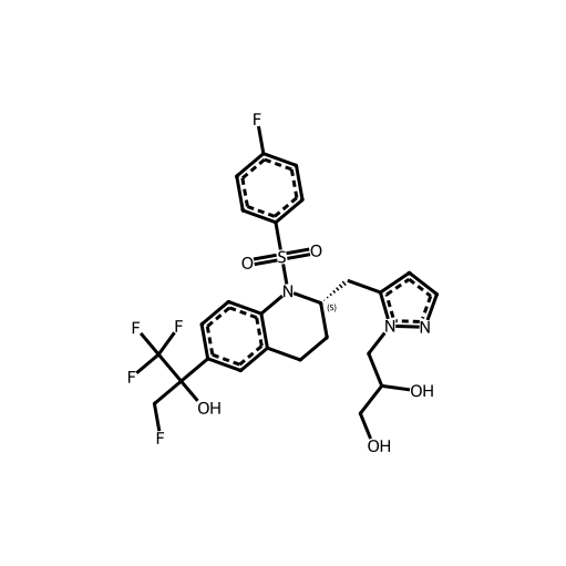 O=S(=O)(c1ccc(F)cc1)N1c2ccc(C(O)(CF)C(F)(F)F)cc2CC[C@H]1Cc1ccnn1CC(O)CO